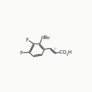 CCCCc1c(/C=C/C(=O)O)ccc(F)c1F